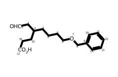 O=CCC(CCCCOCc1ccccc1)CCC(=O)O